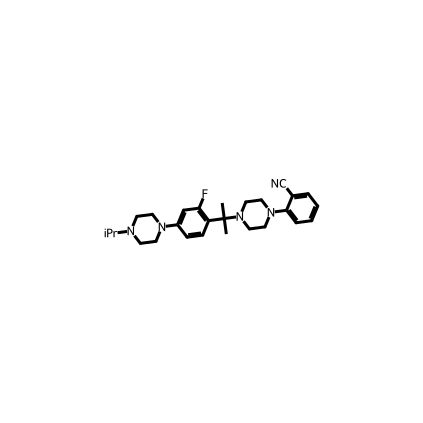 CC(C)N1CCN(c2ccc(C(C)(C)N3CCN(c4ccccc4C#N)CC3)c(F)c2)CC1